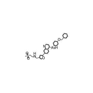 CS(=O)(=O)CCNCc1coc(-c2ccc3c([AsH]c4ccc(OCc5ccccc5)cc4)ccnc3c2)c1